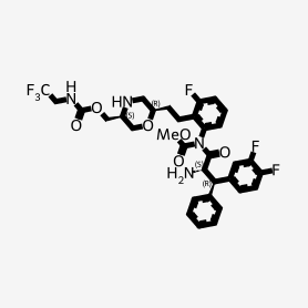 COC(=O)N(C(=O)[C@@H](N)[C@H](c1ccccc1)c1ccc(F)c(F)c1)c1cccc(F)c1CC[C@@H]1CN[C@H](COC(=O)NCC(F)(F)F)CO1